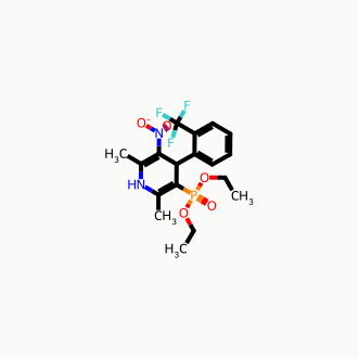 CCOP(=O)(OCC)C1=C(C)NC(C)=C([N+](=O)[O-])C1c1ccccc1C(F)(F)F